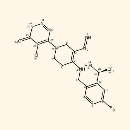 N=NC1=C(NCc2ccc(F)cc2[C@@H](N)C(F)(F)F)CCN(c2cn[nH]c(=O)c2Cl)C1